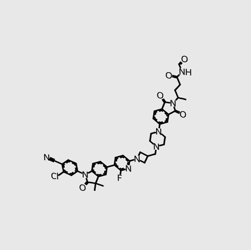 CC(CCC(=O)NC=O)N1C(=O)c2ccc(N3CCN(CC4CN(c5ccc(-c6ccc7c(c6)C(C)(C)C(=O)N7c6ccc(C#N)c(Cl)c6)c(F)n5)C4)CC3)cc2C1=O